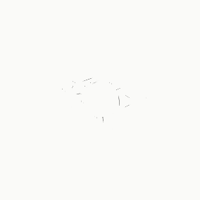 C=C1COc2ccc(C)cc2C(=O)N2CCCCC2c2cc3nc(N4CCC4)cc(n3n2)N(C)CCN1